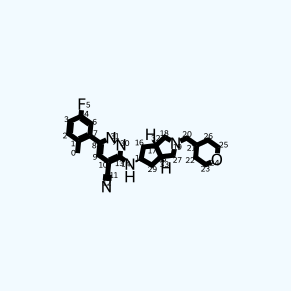 Cc1ccc(F)cc1-c1cc(C#N)c(N[C@@H]2C[C@@H]3CN(CC4CCOCC4)C[C@@H]3C2)nn1